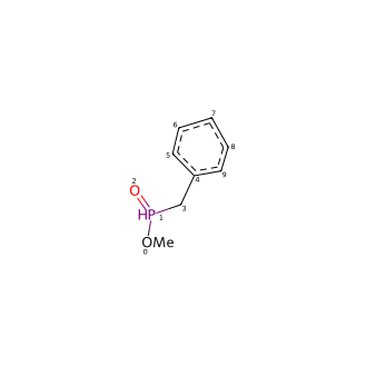 CO[PH](=O)Cc1ccccc1